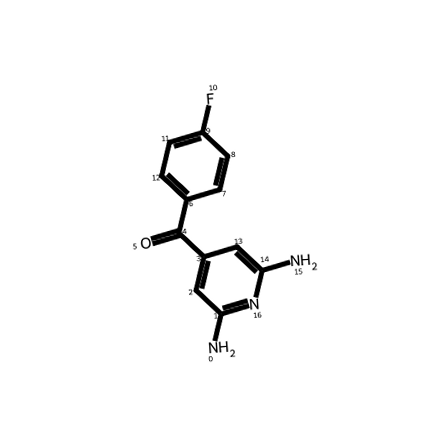 Nc1cc(C(=O)c2ccc(F)cc2)cc(N)n1